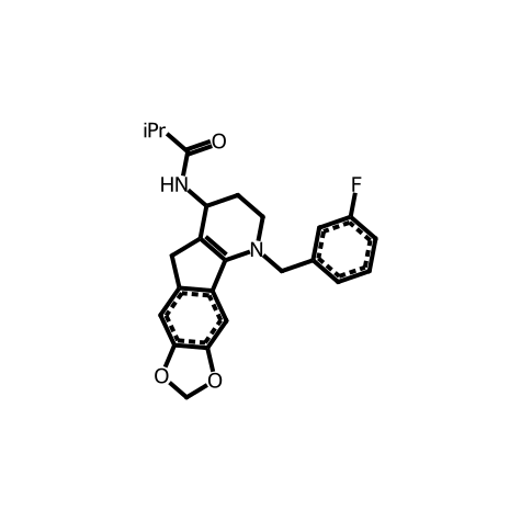 CC(C)C(=O)NC1CCN(Cc2cccc(F)c2)C2=C1Cc1cc3c(cc12)OCO3